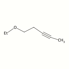 [CH2]COCCC#CC